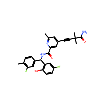 Cc1cc(C#CC(C)(C)C(N)=O)cc(C(=O)N[C@H](c2ccc(C)c(F)c2)c2cc(F)ccc2O)n1